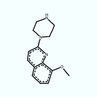 COc1cccc2ccc(N3CCNCC3)nc12